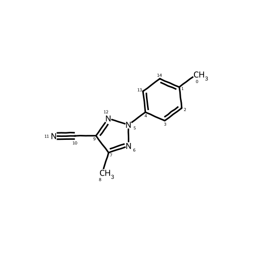 Cc1ccc(-n2nc(C)c(C#N)n2)cc1